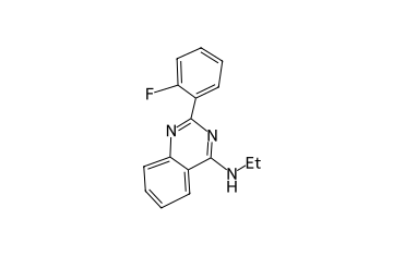 CCNc1nc(-c2ccccc2F)nc2ccccc12